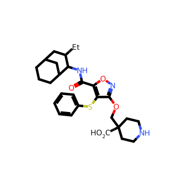 CCC1CC2CCCC(C2)C1NC(=O)c1onc(OCC2(C(=O)O)CCNCC2)c1Sc1ccccc1